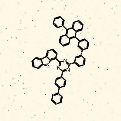 c1ccc(-c2ccc(-c3nc(-c4cccc(-c5cccc(-c6c7ccccc7c(-c7ccccc7)c7ccccc67)c5)c4)nc(-c4cccc5c4sc4ccccc45)n3)cc2)cc1